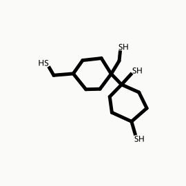 SCC1CCC(CS)(C2(S)CCC(S)CC2)CC1